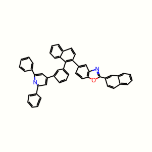 c1ccc(-c2cc(-c3cccc(-c4c(-c5ccc6oc(-c7ccc8ccccc8c7)nc6c5)ccc5ccccc45)c3)cc(-c3ccccc3)n2)cc1